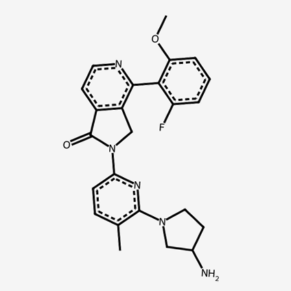 COc1cccc(F)c1-c1nccc2c1CN(c1ccc(C)c(N3CCC(N)C3)n1)C2=O